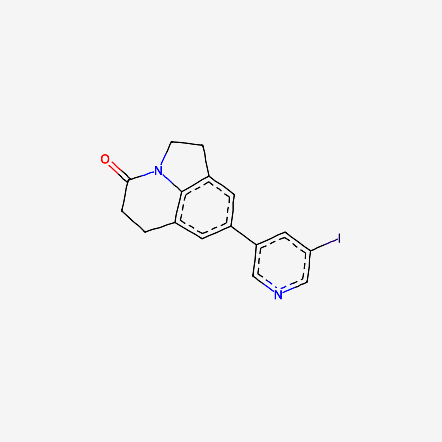 O=C1CCc2cc(-c3cncc(I)c3)cc3c2N1CC3